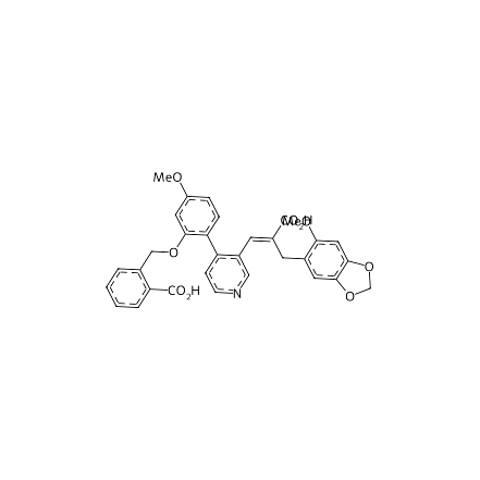 COc1ccc(-c2ccncc2/C=C(\Cc2cc3c(cc2OC)OCO3)C(=O)O)c(OCc2ccccc2C(=O)O)c1